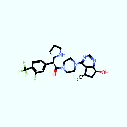 C[C@@H]1C[C@H](O)c2ncnc(N3CCN(C(=O)[C@@H](c4ccc(C(F)(F)F)c(F)c4)[C@@H]4CCCN4)CC3)c21